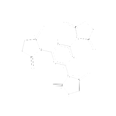 O=C1CCC(=O)N1c1nc(N2C(=O)CCC2=O)nc(N2C(=O)CCC2=O)n1